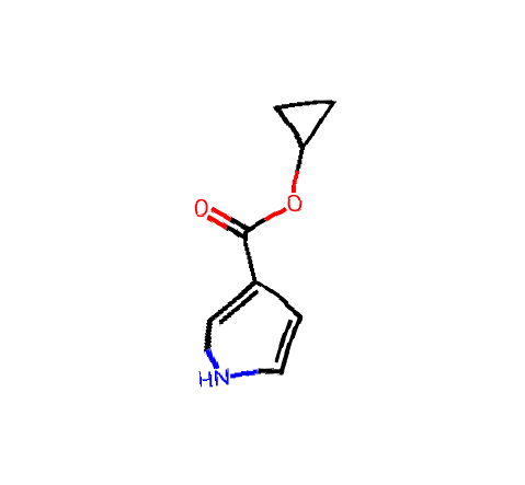 O=C(OC1CC1)c1cc[nH]c1